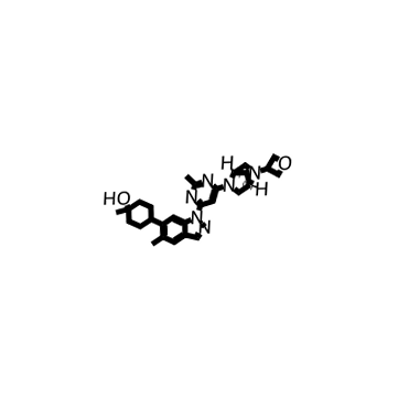 Cc1nc(N2C[C@H]3C[C@@H]2CN3C2COC2)cc(-n2ncc3cc(C)c(C4CCC(C)(O)CC4)cc32)n1